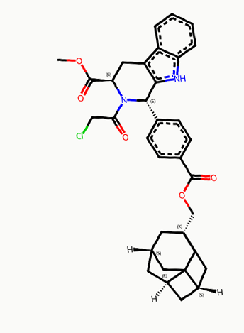 COC(=O)[C@H]1Cc2c([nH]c3ccccc23)[C@H](c2ccc(C(=O)OC[C@]34C[C@H]5C[C@@H]6C[C@@H](C3)C6(C5)C4)cc2)N1C(=O)CCl